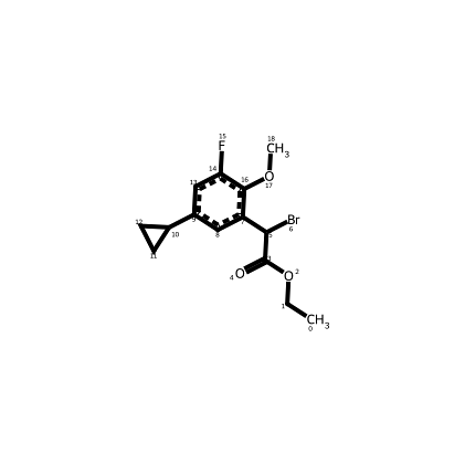 CCOC(=O)C(Br)c1cc(C2CC2)cc(F)c1OC